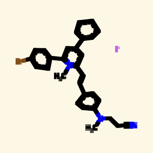 CN(CCC#N)c1ccc(/C=C/c2cc(-c3ccccc3)cc(-c3ccc(Br)cc3)[n+]2C)cc1.[I-]